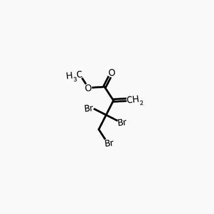 C=C(C(=O)OC)C(Br)(Br)CBr